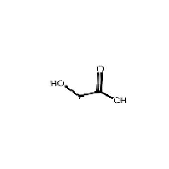 O=C(O)[CH]O